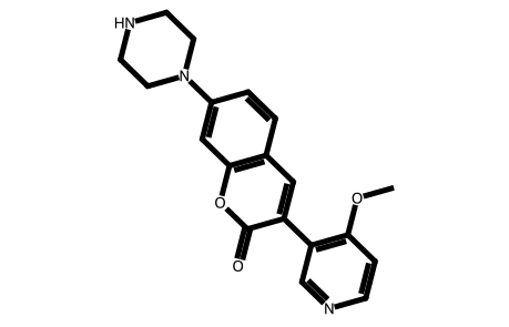 COc1ccncc1-c1cc2ccc(N3CCNCC3)cc2oc1=O